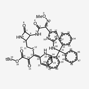 CO/N=C(\C(=O)NC1C(=O)NC1CS/C(C(=O)C(=O)OC(C)(C)C)=C1/C=CC=CN1)c1csc(NC(c2ccccc2)(c2ccccc2)c2ccccc2)n1